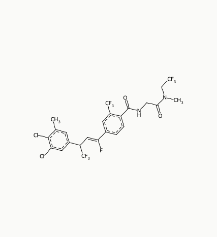 Cc1cc(C(C=C(F)c2ccc(C(=O)NCC(=O)N(C)CC(F)(F)F)c(C(F)(F)F)c2)C(F)(F)F)cc(Cl)c1Cl